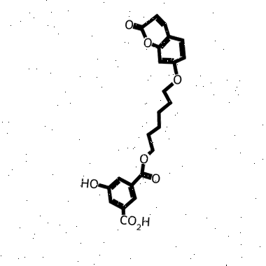 O=C(O)c1cc(O)cc(C(=O)OCCCCCCOc2ccc3ccc(=O)oc3c2)c1